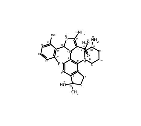 C[C@@]1(O)CCc2c1ncc(N1C(C(N)=O)=C(N)SC1c1c(F)cccc1F)c2N1CCC[C@H](N)C1